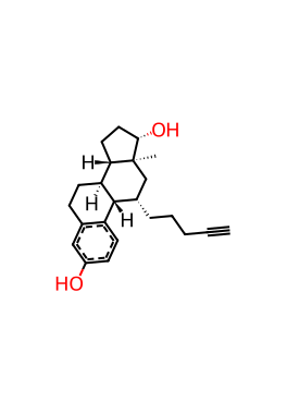 C#CCCC[C@H]1C[C@]2(C)[C@@H](O)CC[C@H]2[C@@H]2CCc3cc(O)ccc3[C@@H]12